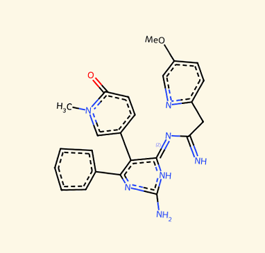 COc1ccc(CC(=N)/N=c2\[nH]c(N)nc(-c3ccccc3)c2-c2ccc(=O)n(C)c2)nc1